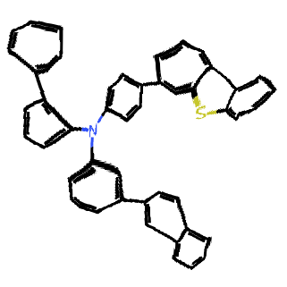 c1ccc(-c2cccc(N(c3ccc(-c4cccc5c4sc4ccccc45)cc3)c3cccc(-c4ccc5ccccc5c4)c3)c2)cc1